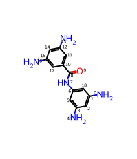 Nc1cc(N)cc(NC(=O)c2cc(N)cc(N)c2)c1